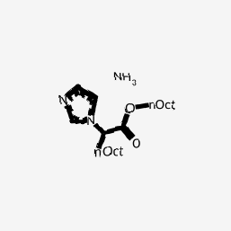 CCCCCCCCOC(=O)C(CCCCCCCC)n1ccnc1.N